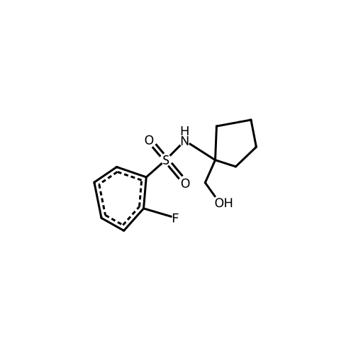 O=S(=O)(NC1(CO)CCCC1)c1ccccc1F